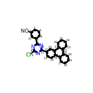 N#Cc1cccc(-c2nc(Cl)nc(-c3ccc4c5ccccc5c5ccccc5c4c3)n2)c1